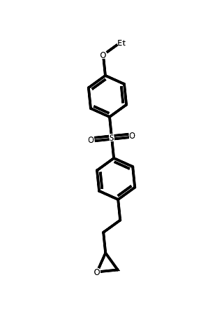 [CH2]COc1ccc(S(=O)(=O)c2ccc(CCC3CO3)cc2)cc1